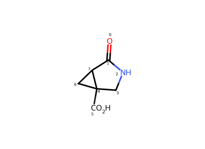 O=C1NCC2(C(=O)O)CC12